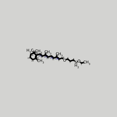 CCO[SiH2]CCCOC/C=C(C)/C=C/C=C(C)/C=C/C1=C(C)CCCC1(C)C